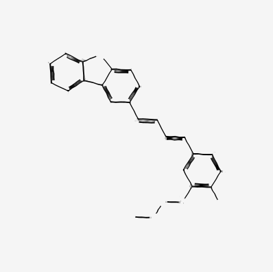 COONc1cc(/C=C/C=C/c2ccc3oc4ccccc4c3c2)ccc1O